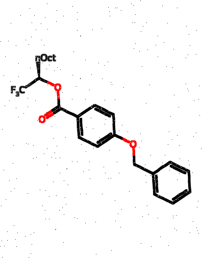 CCCCCCCC[C@@H](OC(=O)c1ccc(OCc2ccccc2)cc1)C(F)(F)F